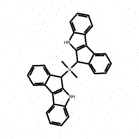 C[Si](C)(C1c2ccccc2-c2c1[nH]c1ccccc21)C1c2ccccc2-c2c1[nH]c1ccccc21